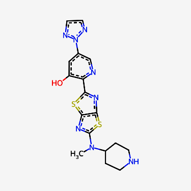 CN(c1nc2sc(-c3ncc(-n4nccn4)cc3O)nc2s1)C1CCNCC1